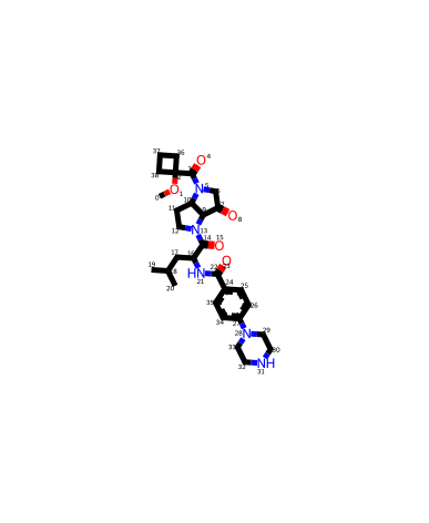 COC1(C(=O)N2CC(=O)C3C2CCN3C(=O)C(CC(C)C)NC(=O)c2ccc(N3CCNCC3)cc2)CCC1